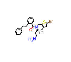 Cc1cc(Br)sc1CN(CCCN)C(=O)c1ccccc1CCc1ccccc1